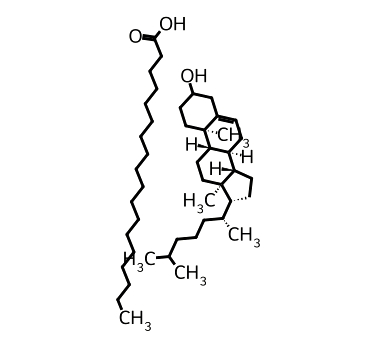 CC(C)CCC[C@@H](C)[C@H]1CC[C@H]2[C@@H]3CC=C4CC(O)CC[C@]4(C)[C@H]3CC[C@]12C.CCCCCCCCCCCCCCCCCC(=O)O